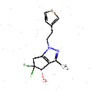 O[C@H]1c2c(C(F)(F)F)nn(CCc3ccsc3)c2CC1(F)F